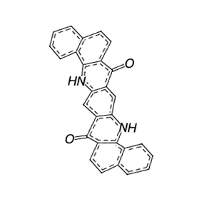 O=c1c2cc3[nH]c4c(ccc5ccccc54)c(=O)c3cc2[nH]c2c1ccc1ccccc12